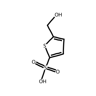 O=S(=O)(O)c1ccc(CO)s1